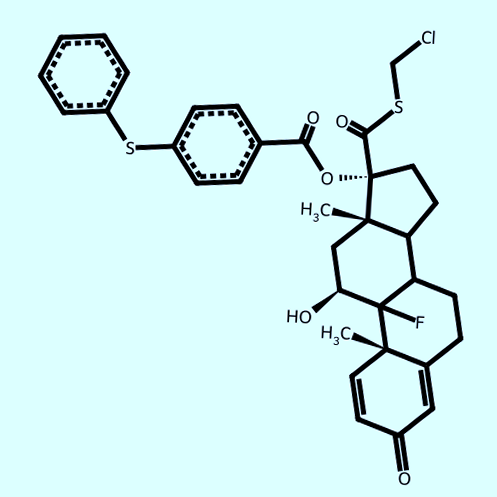 C[C@]12C=CC(=O)C=C1CCC1C3CC[C@](OC(=O)c4ccc(Sc5ccccc5)cc4)(C(=O)SCCl)[C@@]3(C)C[C@H](O)C12F